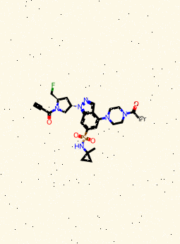 C#CC(=O)N1C[C@@H](n2ncc3c(N4CCN(C(=O)C(C)C)CC4)cc(S(=O)(=O)NC4(C)CC4)cc32)C[C@@H]1CF